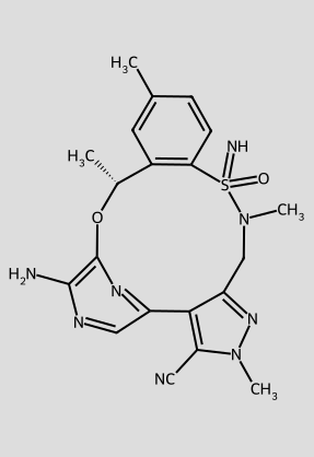 Cc1ccc2c(c1)[C@@H](C)Oc1nc(cnc1N)-c1c(nn(C)c1C#N)CN(C)S2(=N)=O